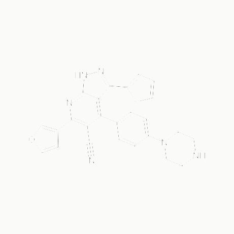 N#Cc1c(-c2ccoc2)nc2[nH]nc(-c3cccs3)c2c1-c1ccc(N2CCNCC2)cc1